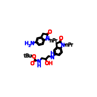 CCCN1C(=O)Cc2cc(N)ccc21.CCCN1C(=O)Cc2cc(NCC(O)CNC(=O)OC(C)(C)C)ccc21